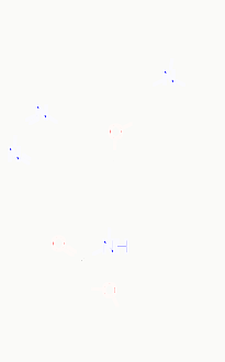 COC1(C(=O)Nc2ccc(OCCN3CCCC3)c(-c3c(C)ncnc3C)c2)CCC1